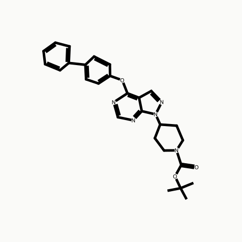 CC(C)(C)OC(=O)N1CCC(n2ncc3c(Oc4ccc(-c5ccccc5)cc4)ncnc32)CC1